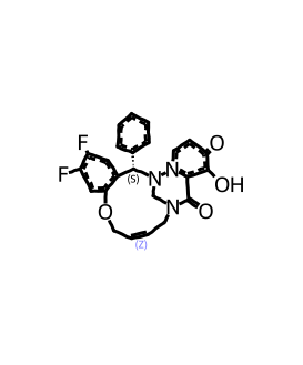 O=C1c2c(O)c(=O)ccn2N2CN1C/C=C\COc1cc(F)c(F)cc1[C@@H]2c1ccccc1